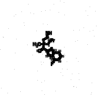 CC(C)CC(C)(CC=N)C(=O)c1cc2c(F)cccc2s1